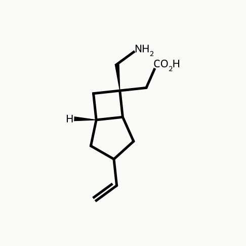 C=CC1CC2[C@H](C1)C[C@]2(CN)CC(=O)O